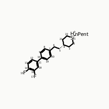 CCCCC[Si@H]1CC[C@H](CCc2ccc(-c3ccc(F)c(F)c3)cc2)CC1